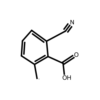 [CH2]c1cccc(C#N)c1C(=O)O